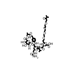 CC(C)C(=O)CCOCCOCCOCCOCCC(=O)N[C@@H](CCC(=O)O)C(=O)N[C@H](C(=O)N[C@@H](CCCNC(N)=O)C(=O)Nc1ccc(COC(=O)C(C)C)cc1O[C@@H]1O[C@H](C(=O)O)[C@@H](O)[C@H](O)[C@H]1O)C(C)C